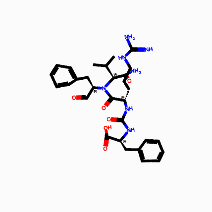 CC(C)[C@@H](C(N)=O)N(C(=O)[C@H](CCCNC(=N)N)NC(=O)N[C@@H](Cc1ccccc1)C(=O)O)[C@@H](C=O)Cc1ccccc1